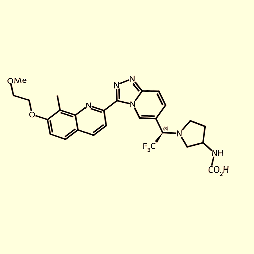 COCCOc1ccc2ccc(-c3nnc4ccc([C@@H](N5CCC(NC(=O)O)C5)C(F)(F)F)cn34)nc2c1C